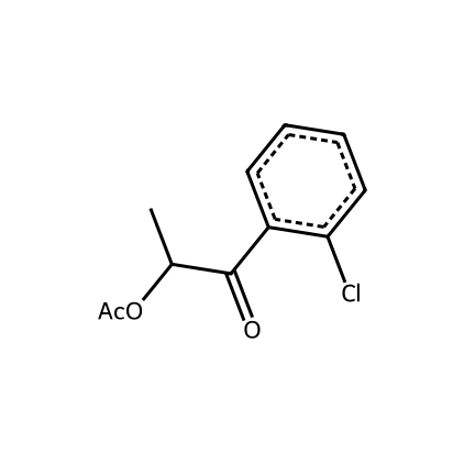 CC(=O)OC(C)C(=O)c1ccccc1Cl